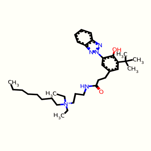 CCCCCCCC[N+](CC)(CC)CCCNC(=O)CCc1cc(-n2nc3ccccc3n2)c(O)c(C(C)(C)C)c1